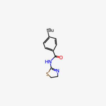 CC(C)(C)c1ccc(C(=O)NC2=NCCS2)cc1